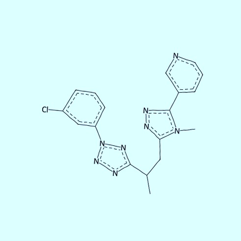 CC(Cc1nnc(-c2cccnc2)n1C)c1nnn(-c2cccc(Cl)c2)n1